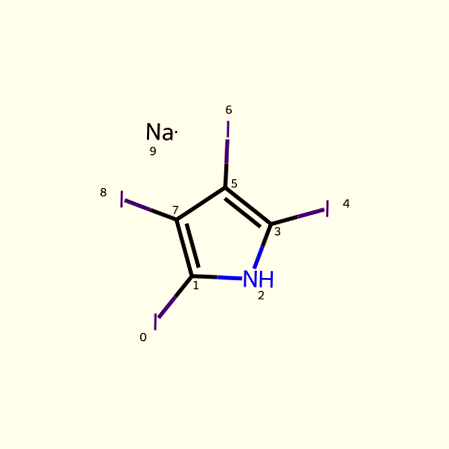 Ic1[nH]c(I)c(I)c1I.[Na]